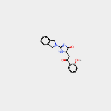 COc1ccccc1C(=O)CC1NC(N2Cc3ccccc3C2)=NC1=O